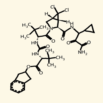 CC(C)(C)[C@@H](NC(=O)N[C@@H](C(=O)N1C[C@H]2[C@@H]([C@H]1C(=O)NC(C(=O)C(N)=O)C1CC1)C2(Cl)Cl)C(C)(C)C)C(=O)OC1Cc2ccccc2C1